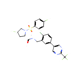 O=C(NCc1cc(-c2cnc(C(F)(F)F)nc2)ccc1Cl)[C@@H]1C[C@@H](F)CN1S(=O)(=O)c1ccc(F)cc1